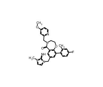 COc1ccnc(CN2CCOc3c(cc(Cn4ccn(C)c4=N)cc3-c3ccc(F)cc3C)C2=O)c1